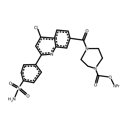 CCCOC(=O)N1CCN(C(=O)c2ccc3c(Cl)cc(-c4ccc(S(N)(=O)=O)cc4)nc3c2)CC1